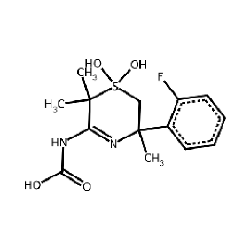 CC1(c2ccccc2F)CS(O)(O)C(C)(C)C(NC(=O)O)=N1